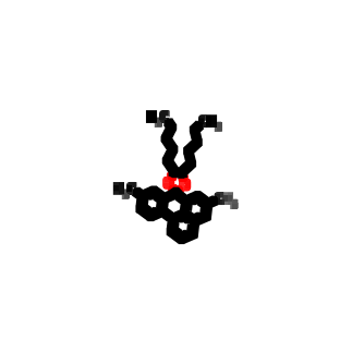 CCCCCCOC1(OCCCCCC)c2cc(C)ccc2-c2cccc3cc(C)cc1c23